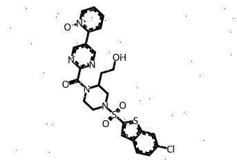 O=C(c1ncc(-c2cccc[n+]2[O-])cn1)N1CCN(S(=O)(=O)c2cc3ccc(Cl)cc3s2)CC1CCO